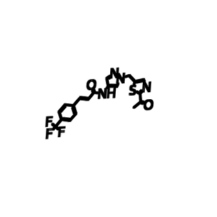 CC(=O)c1ncc(Cn2cc(NC(=O)C=Cc3ccc(C(F)(F)F)cc3)cn2)s1